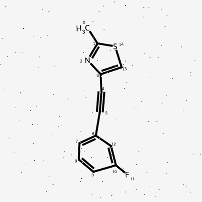 Cc1nc(C#Cc2cccc(F)c2)cs1